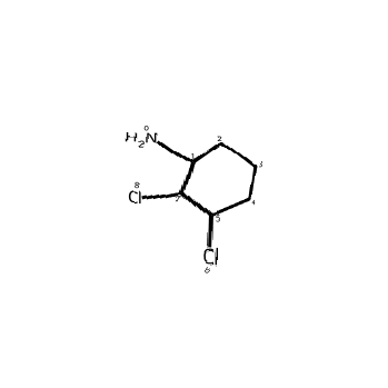 NC1CCCC(Cl)C1Cl